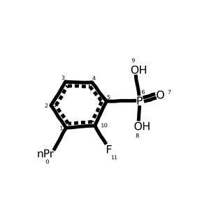 CCCc1cccc(P(=O)(O)O)c1F